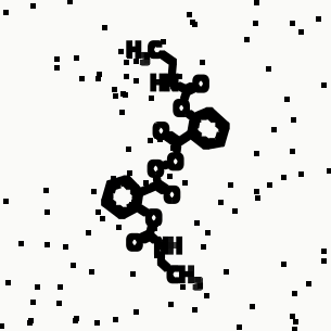 CCNC(=O)Oc1ccccc1C(=O)OOC(=O)c1ccccc1OC(=O)NCC